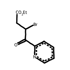 CCOC(=O)CC(Br)C(=O)c1ccccn1